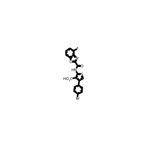 O=C(Nc1scc(-c2ccc(Br)cc2)c1C(=O)O)c1nc2c(F)cccc2o1